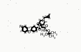 CC(C)(C)ONC(=O)CC1(S(=O)(=O)c2ccc(Oc3ccc(F)cc3)cc2)CCN(CC2CC2)CC1